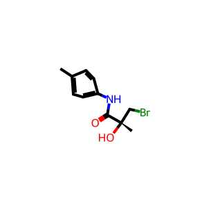 Cc1ccc(NC(=O)[C@@](C)(O)CBr)cc1